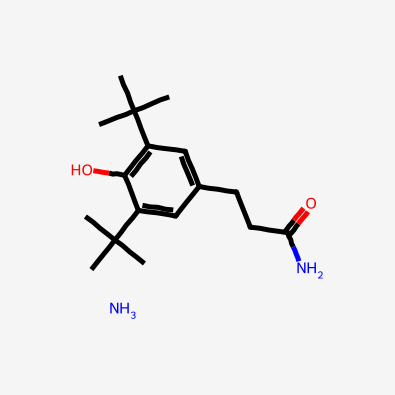 CC(C)(C)c1cc(CCC(N)=O)cc(C(C)(C)C)c1O.N